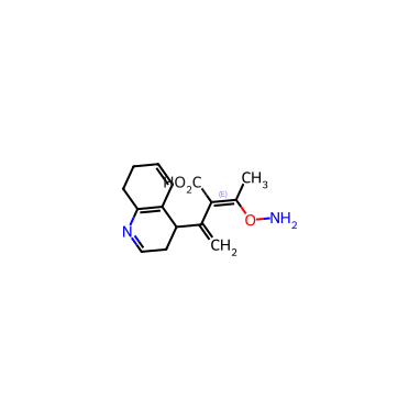 C=C(/C(C(=O)O)=C(/C)ON)C1CC=NC2=C1C=CCC2